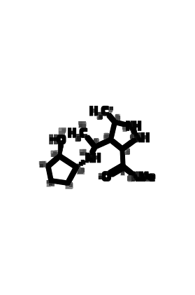 CNC(=O)C1NNC(C)C1C(C)N[C@@H]1CCC[C@H]1O